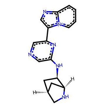 c1ccn2c(-c3cncc(N[C@@H]4C[C@@H]5CN[C@H]4C5)n3)cnc2c1